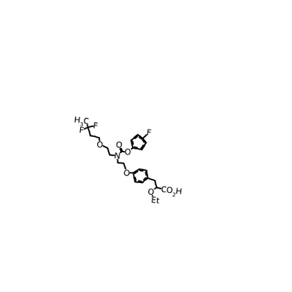 CCOC(Cc1ccc(OCCN(CCOCCC(C)(F)F)C(=O)Oc2ccc(F)cc2)cc1)C(=O)O